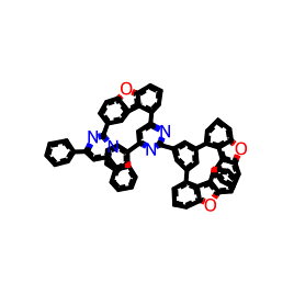 c1ccc(-c2cc(-c3ccccc3)nc(-c3ccc4oc5cccc(-c6cc(-c7ccccc7)nc(-c7cc(-c8cccc9oc%10ccccc%10c89)cc(-c8cccc9oc%10ccccc%10c89)c7)n6)c5c4c3)n2)cc1